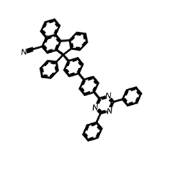 N#Cc1cc2c(c3ccccc13)-c1ccccc1C2(c1ccccc1)c1ccc(-c2ccc(-c3nc(-c4ccccc4)nc(-c4ccccc4)n3)cc2)cc1